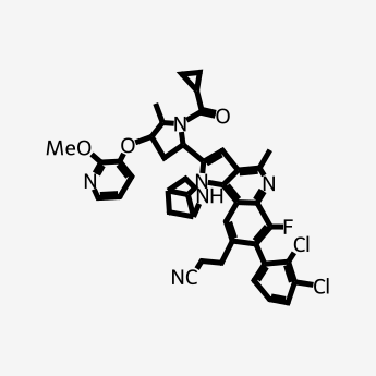 COc1ncccc1OC1CC(c2cc3c(C)nc4c(F)c(-c5cccc(Cl)c5Cl)c(CCC#N)cc4c3n2C2C3CNC2C3)N(C(=O)C2CC2)C1C